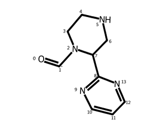 O=[C]N1CCNCC1c1ncccn1